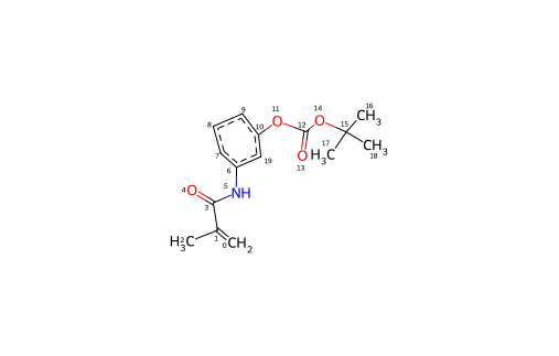 C=C(C)C(=O)Nc1cccc(OC(=O)OC(C)(C)C)c1